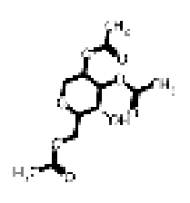 CC(=O)OCC1OCC(OC(C)=O)C(OC(C)=O)[C@@H]1O